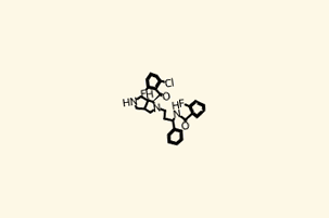 O=C(NC(CCN1CC2CNC[C@H]2[C@H]1C(=O)c1c(F)cccc1Cl)c1ccccc1)c1ccccc1F